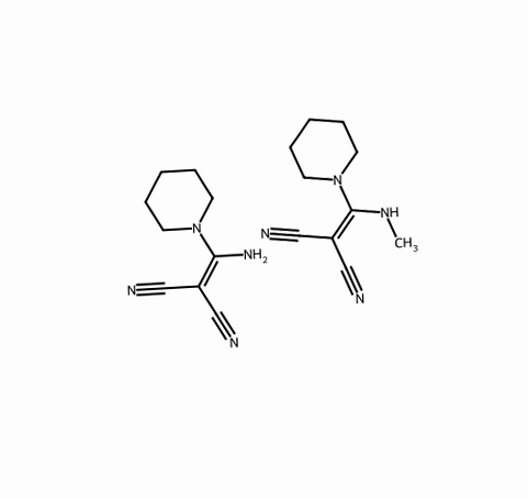 CNC(=C(C#N)C#N)N1CCCCC1.N#CC(C#N)=C(N)N1CCCCC1